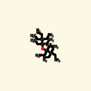 C[CH2][Ge]([CH2]C)([CH2]C)[Ge]([CH2]C)([CH2]C)[O][Ge]([CH2]C)([CH2]C)[Ge]([CH2]C)([CH2]C)[CH2]C